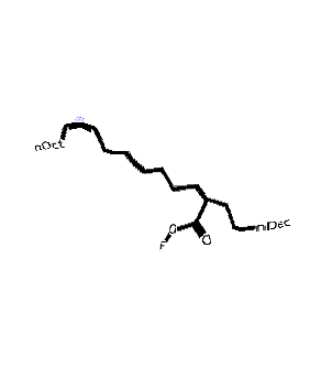 CCCCCCCC/C=C\CCCCCCC(CCCCCCCCCCCC)C(=O)OF